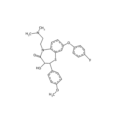 COc1ccc(C2Sc3cc(Oc4ccc(F)cc4)ccc3N(CCN(C)C)C(=O)C2O)cc1